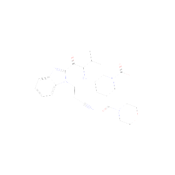 CC(C)C(N[C@H]1C[C@@H](C(=O)N2CCOCC2)CN(C(=O)O)C1)C(=O)c1nc2ccccc2n1CCC#N